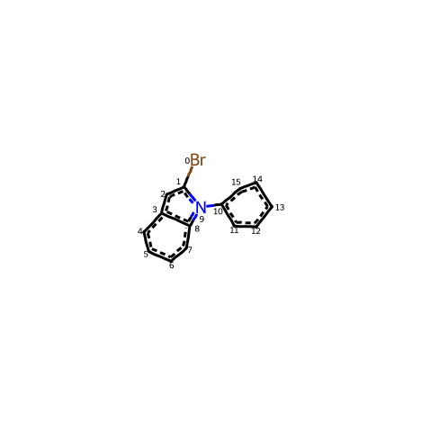 Brc1cc2ccccc2n1-c1ccccc1